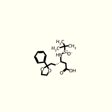 CC(C)(C)[S@+]([O-])N[C@@H](CCC1(c2ccccc2)OCCO1)CC(=O)O